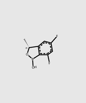 C[C@H]1OB(O)c2c(F)cc(F)cc21